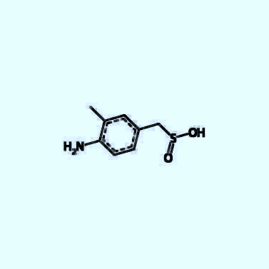 Cc1cc(CS(=O)O)ccc1N